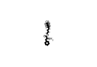 N[C@@H](Cc1ccccc1)C(=O)OCCCCC(F)(F)C(F)(F)C(F)(F)C(F)(F)F